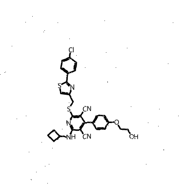 N#Cc1c(NC2CCC2)nc(SCc2csc(-c3ccc(Cl)cc3)n2)c(C#N)c1-c1ccc(OCCO)cc1